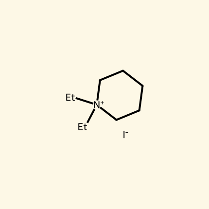 CC[N+]1(CC)CCCCC1.[I-]